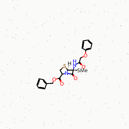 CS[C@@]1(NC(=O)COc2ccccc2)C(=O)N2C(C(=O)OCc3ccccc3)CS[C@H]21